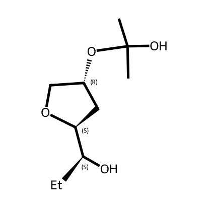 CC[C@H](O)[C@@H]1C[C@@H](OC(C)(C)O)CO1